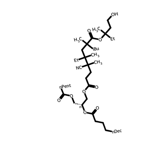 CCCCCCCCCCCCCC(=O)O[C@H](COC(=O)CCCCC)COC(=O)CCC(C)(C#N)C(C)(CC)CC(C)(C(=O)OC(C)(CC)CCO)C(C)CC